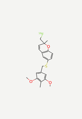 COc1cc(CSc2ccc3c(c2)C=CC(C)(C[18F])O3)cc(OC)c1C